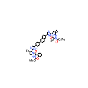 CC[C@@H]1CCN(C(=O)[C@H](NC(=O)OC)c2ccccc2)[C@@H]1c1ncc(-c2ccc(-c3ccc4cc(-c5cnc([C@@H]6CC7(CC7)CN6C(=O)C(NC(=O)OC)C(C)C)[nH]5)ccc4c3)cc2)[nH]1